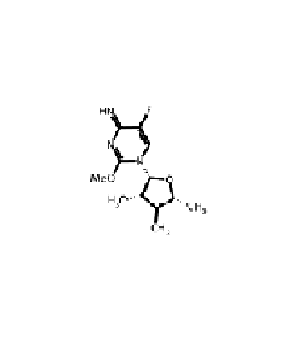 COc1nc(=N)c(F)cn1[C@@H]1O[C@H](C)C(C)[C@@H]1C